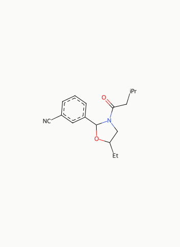 CCC1CN(C(=O)CC(C)C)C(c2cccc(C#N)c2)O1